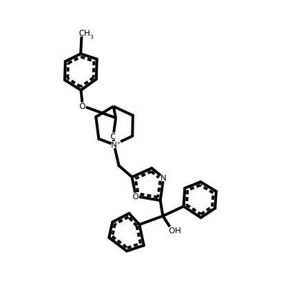 Cc1ccc(OC2C[N+]3(Cc4cnc(C(O)(c5ccccc5)c5ccccc5)o4)CCC2CC3)cc1